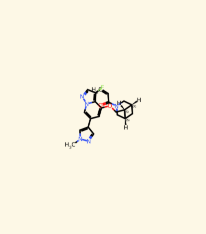 C=CC(=O)N1C[C@H]2C[C@@H](C1)[C@H]2COc1cc(-c2cnn(C)c2)cn2ncc(F)c12